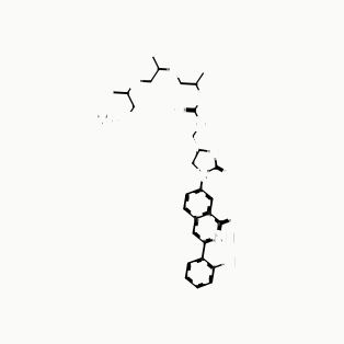 COCC(C)OCC(C)OCC(C)OC(=O)OC[C@@H]1CN(c2ccc3cc(-c4ccccc4C(F)(F)F)[nH]c(=O)c3c2)C(=O)O1